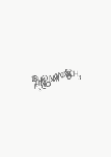 CC(C)(C)C(=O)Nc1cc(-c2cn3nc(N4CCN(S(C)(=O)=O)CC4)ccc3n2)ccc1C(F)(F)F